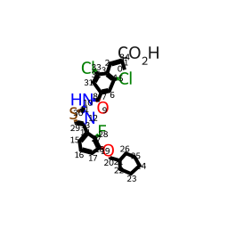 CC(=Cc1c(Cl)cc(C(=O)Nc2nc(-c3cccc(OCC4CCCCC4)c3F)cs2)cc1Cl)C(=O)O